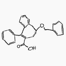 O=C(O)c1cc(OCc2ccccc2)c2ccccc2c1-c1ccccc1